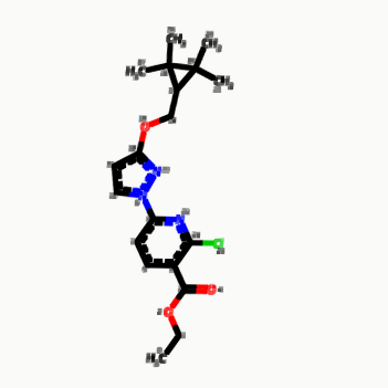 CCOC(=O)c1ccc(-n2ccc(OCC3C(C)(C)C3(C)C)n2)nc1Cl